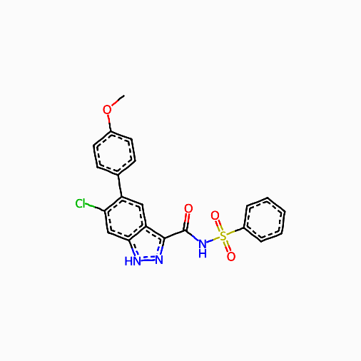 COc1ccc(-c2cc3c(C(=O)NS(=O)(=O)c4ccccc4)n[nH]c3cc2Cl)cc1